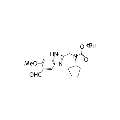 COc1cc2[nH]c(CN(C(=O)OC(C)(C)C)C3CCCC3)nc2cc1C=O